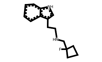 FC1(CNCCc2c[nH]c3ccccc23)CCC1